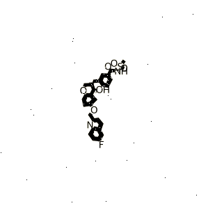 CS(=O)(=O)NC(=O)c1cccc(C[C@@H]2COc3ccc(OCc4ccc5cc(F)ccc5n4)cc3[C@@H]2O)c1